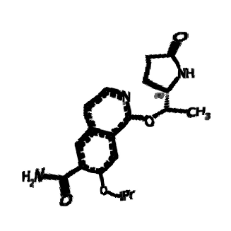 CC(C)Oc1cc2c(OC(C)[C@@H]3CCC(=O)N3)nccc2cc1C(N)=O